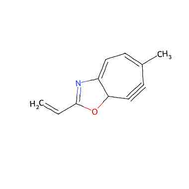 C=CC1=NC2=CC=C(C)C#CC2O1